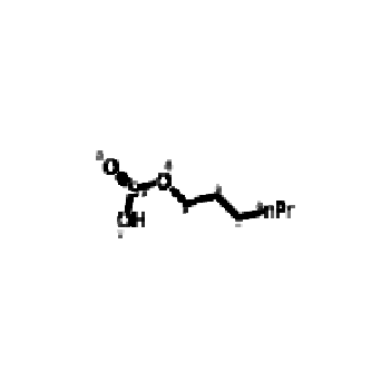 CCCCCCOS(=O)O